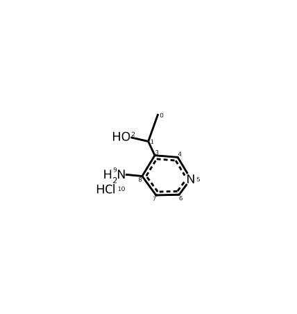 CC(O)c1cnccc1N.Cl